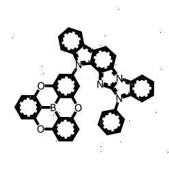 c1ccc(-n2c3ccccc3n3c4ccc5c6ccccc6n(-c6cc7c8c(c6)Oc6cccc9c6B8c6c(cccc6O7)O9)c5c4nc23)cc1